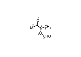 CCC(=O)N(C)OC=O